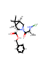 CC(C)(C)[C@H](NCl)C(=O)N1C[C@H]2[C@@H]([C@H]1C(=O)OCc1ccccc1)C2(C)C